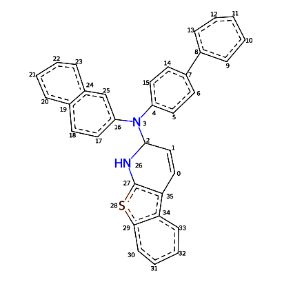 C1=CC(N(c2ccc(-c3ccccc3)cc2)c2ccc3ccccc3c2)Nc2sc3ccccc3c21